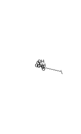 CCCC(C)CCCCCCCCCCCCCCCCC(=O)OCC(COC=O)NCCC(=O)O